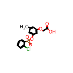 Cc1cc(OCC(=O)O)cc(OS(=O)(=O)c2ccccc2Cl)c1